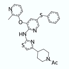 CC(=O)N1CCC(c2csc(Nc3ncc(Sc4ccccc4)cc3Oc3cccnc3C)n2)CC1